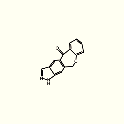 O=C1c2cc3cn[nH]c3cc2COc2ccccc21